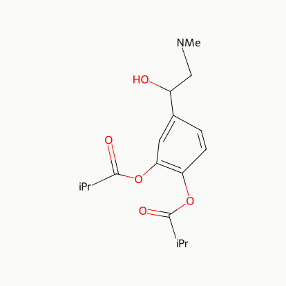 CNCC(O)c1ccc(OC(=O)C(C)C)c(OC(=O)C(C)C)c1